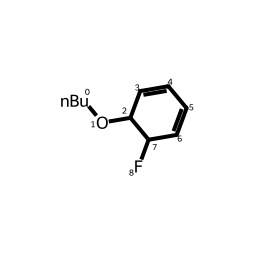 CCCCOC1C=CC=CC1F